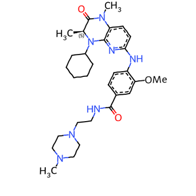 COc1cc(C(=O)NCCN2CCN(C)CC2)ccc1Nc1ccc2c(n1)N(C1CCCCC1)[C@@H](C)C(=O)N2C